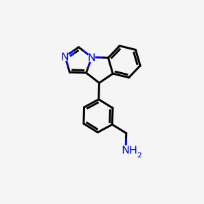 NCc1cccc(C2c3ccccc3-n3cncc32)c1